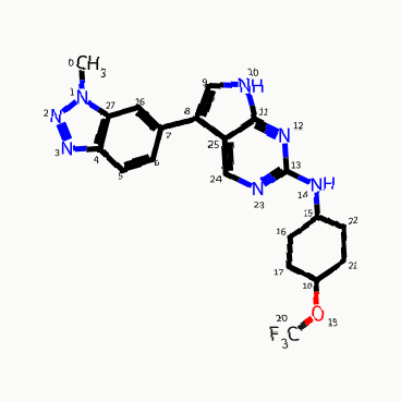 Cn1nnc2ccc(-c3c[nH]c4nc(NC5CCC(OC(F)(F)F)CC5)ncc34)cc21